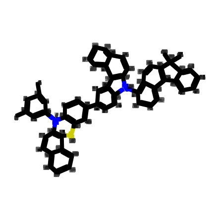 Cc1cc(C)cc(N2c3ccc(-c4ccc5c(c4)c4c6ccccc6ccc4n5-c4cccc5c6c(ccc45)C(C)(C)c4ccccc4-6)cc3Sc3c2ccc2ccccc32)c1